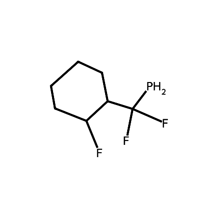 FC1CCCCC1C(F)(F)P